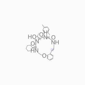 Cc1ccc(C[C@H]2NC(=O)[C@H](C(C)O)N(C)C(=O)[C@H](C3CCCCC3)NCCOc3ccccc3/C=C/CNC2=O)cc1